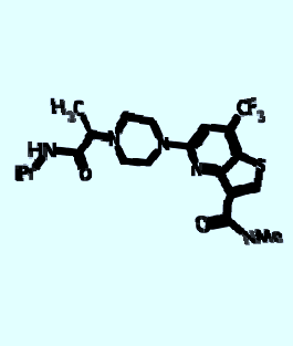 CNC(=O)c1csc2c(C(F)(F)F)cc(N3CCN([C@H](C)C(=O)NC(C)C)CC3)nc12